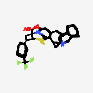 O=C(O)C12C[C@@H](c3cccc(C(F)(F)F)c3)C1Sc1c(C3CC3)c(Cc3cncc4ccccc34)cc(=O)n12